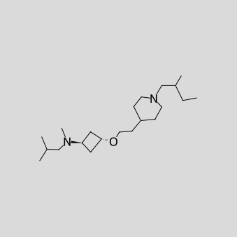 CCC(C)CN1CCC(CCO[C@H]2C[C@H](N(C)CC(C)C)C2)CC1